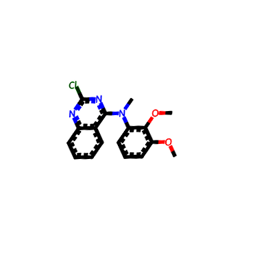 COc1cccc(N(C)c2nc(Cl)nc3ccccc23)c1OC